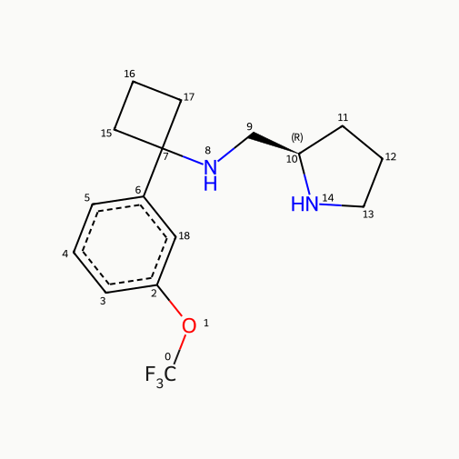 FC(F)(F)Oc1cccc(C2(NC[C@H]3CCCN3)CCC2)c1